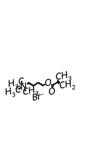 C=C(C)C(=O)OCCCC[N+](C)(C)C.[Br-]